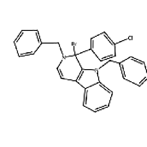 Clc1ccc(C2(Br)c3c(c4ccccc4n3Cc3ccccc3)C=CN2Cc2ccccc2)cc1